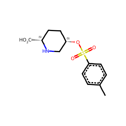 Cc1ccc(S(=O)(=O)O[C@H]2CC[C@@H](C(=O)O)NC2)cc1